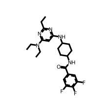 CCc1nc(NC2CCC(NC(=O)c3cc(F)c(F)c(F)c3)CC2)cc(N(CC)CC)n1